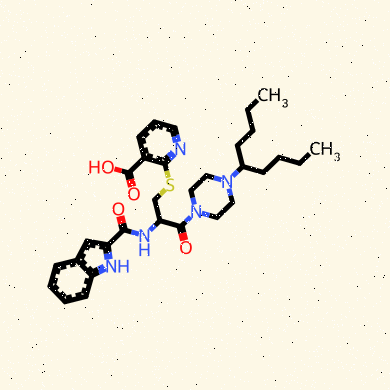 CCCCC(CCCC)N1CCN(C(=O)C(CSc2ncccc2C(=O)O)NC(=O)c2cc3ccccc3[nH]2)CC1